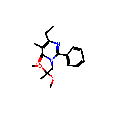 CCc1nc(-c2ccccc2)n(CC(C)(OC)OC)c(=O)c1C